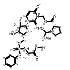 COC(O)N1CCC[C@H]1C(=O)OCn1c(=O)ccn([C@@H]2O[C@H](COP(=O)(N[C@@H](C)C(=O)OC(C)C)Oc3ccccc3)[C@@H](O)[C@@]2(C)F)c1=O